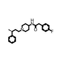 C[C@@H](CCN1CCC(NC(=O)Cc2ccc(F)cc2)CC1)c1ccccc1